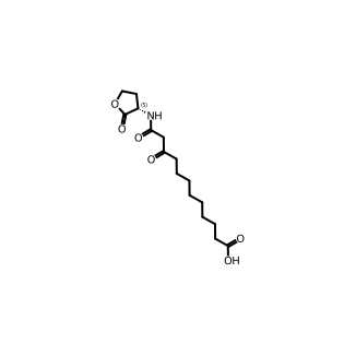 O=C(O)CCCCCCCCC(=O)CC(=O)N[C@H]1CCOC1=O